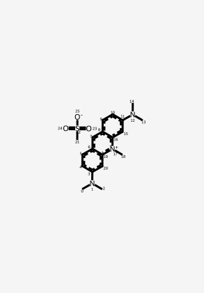 CN(C)c1ccc2cc3ccc(N(C)C)cc3[n+](C)c2c1.CS(=O)(=O)[O-]